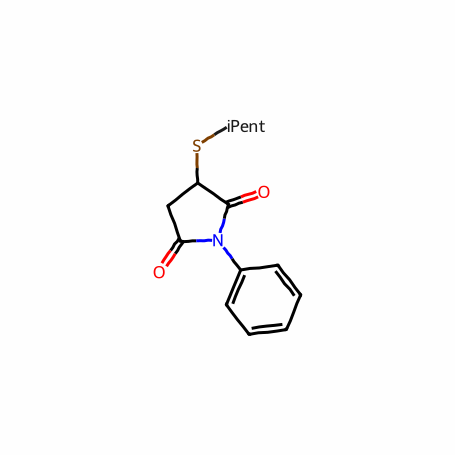 CCCC(C)SC1CC(=O)N(c2ccccc2)C1=O